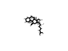 C=C1C[C@]2(C)[C@@H]([C@H](C)CCCC(C)C)CC[C@H]2[C@@H]2CCC3CCCC[C@]3(C)[C@@H]12